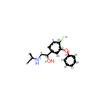 CC(C)NCC(O)c1ccc(F)c(Oc2ccccc2)c1